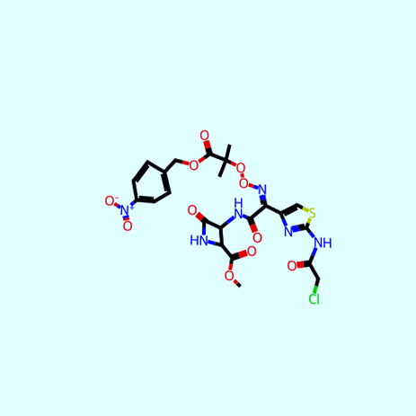 COC(=O)C1NC(=O)C1NC(=O)/C(=N\OOC(C)(C)C(=O)OCc1ccc([N+](=O)[O-])cc1)c1csc(NC(=O)CCl)n1